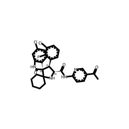 CC(=O)c1ccc(NC(=O)[C@@H]2NC3(CCCCC3)[C@@]3(C(=O)Nc4cc(Cl)ccc43)[C@H]2c2cccc(Cl)c2F)nc1